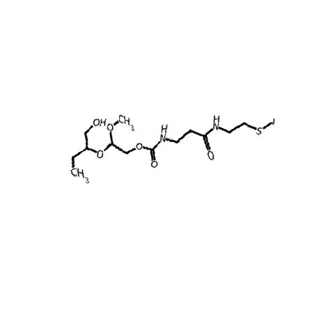 CCC(CO)OC(COC(=O)NCCC(=O)NCCSI)OC